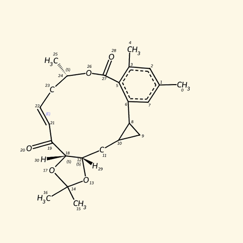 Cc1cc(C)c2c(c1)C1CC1C[C@@H]1OC(C)(C)O[C@@H]1C(=O)/C=C/C[C@H](C)OC2=O